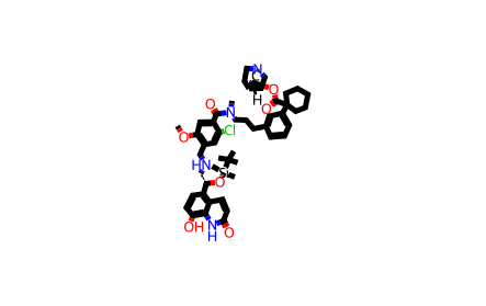 COc1cc(C(=O)N(C)CCCc2cccc(C3(C(=O)O[C@H]4CN5CCC4CC5)CCCCC3)c2)c(Cl)cc1CNC[C@H](O[Si](C)(C)C(C)(C)C)c1ccc(O)c2[nH]c(=O)ccc12